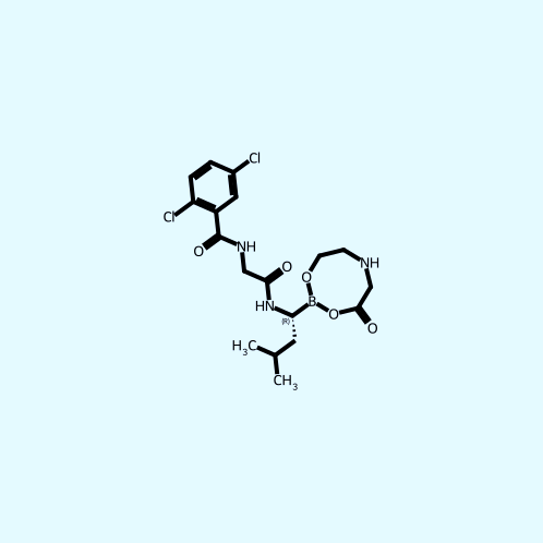 CC(C)C[C@H](NC(=O)CNC(=O)c1cc(Cl)ccc1Cl)B1OCCNCC(=O)O1